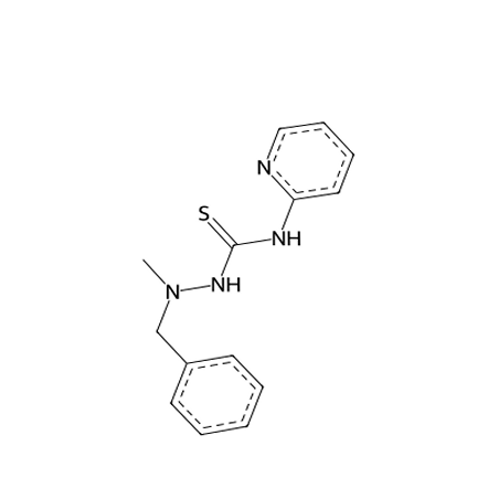 CN(Cc1ccccc1)NC(=S)Nc1ccccn1